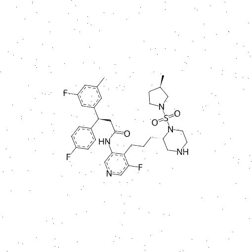 Cc1cc(F)cc([C@@H](CC(=O)Nc2cncc(F)c2CCC[C@H]2CNCCN2S(=O)(=O)N2CC[C@@H](C)C2)c2ccc(F)cc2)c1